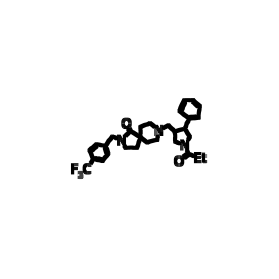 CCC(=O)N1CC(CN2CCC3(CC2)CCN(Cc2ccc(C(F)(F)F)cc2)C3=O)C(c2ccccc2)C1